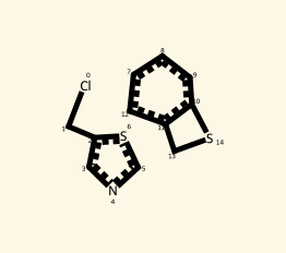 ClCc1cncs1.c1ccc2c(c1)CS2